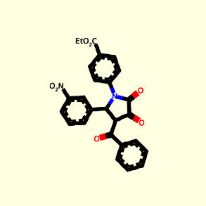 CCOC(=O)c1ccc(N2C(=O)C(=O)C(C(=O)c3ccccc3)C2c2cccc([N+](=O)[O-])c2)cc1